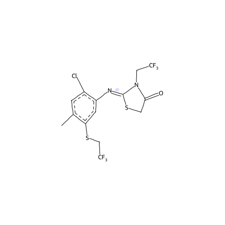 Cc1cc(Cl)c(/N=C2\SCC(=O)N2CC(F)(F)F)cc1SCC(F)(F)F